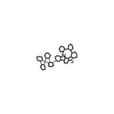 c1ccc2c(c1)-c1ccccc1C21c2ccccc2-c2c(-c3ccc4c(c3)c3ccc5sc6cccc7c8ccccc8c8ccccc8n4c3c5c67)cccc21